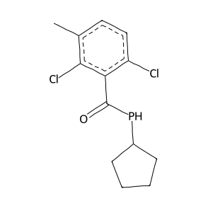 Cc1ccc(Cl)c(C(=O)PC2CCCC2)c1Cl